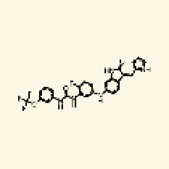 O=C(Nc1cccc(OC(F)(F)F)c1)Nc1cc(Nc2ccc3c(c2)NC(=O)C3=Cc2ccc[nH]2)ccc1F